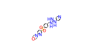 N=C(NCc1ccc(S(=O)(=O)c2ccc(N3CCOCC3)nc2)cc1)Nc1ccncc1